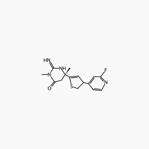 CN1C(=N)N[C@](C)(C2=CC(c3ccnc(F)c3)CS2)CC1=O